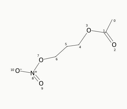 CC(=O)OCCCO[N+](=O)[O-]